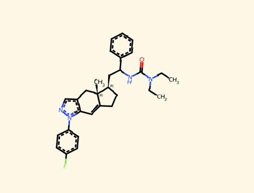 CCN(CC)C(=O)NC(C[C@H]1CCC2=Cc3c(cnn3-c3ccc(F)cc3)C[C@@]21C)c1ccccc1